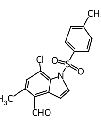 Cc1ccc(S(=O)(=O)n2ccc3c(C=O)c(C)cc(Cl)c32)cc1